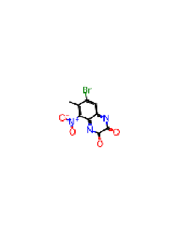 Cc1c(Br)cc2c(c1[N+](=O)[O-])=NC(=O)C(=O)N=2